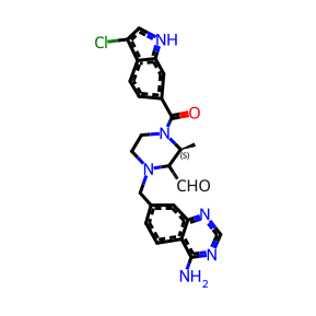 C[C@H]1C(C=O)N(Cc2ccc3c(N)ncnc3c2)CCN1C(=O)c1ccc2c(Cl)c[nH]c2c1